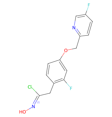 O/N=C(\Cl)Cc1ccc(OCc2ccc(F)cn2)cc1F